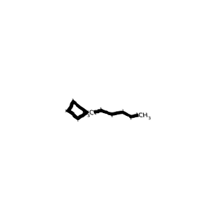 C1CCC1.CCCCCC